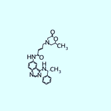 C[C@H]1CN(C/C=C/C(=O)Nc2ccc3ncnc(N[C@H](C)c4ccccc4)c3c2)CC(=O)O1